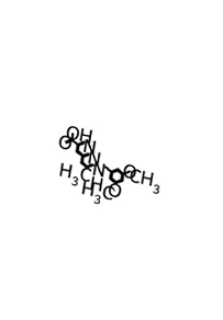 COc1cc(CNc2nc3ncc(C(=O)O)cc3cc2C)cc(OC)c1